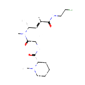 C/C(=C\[C@H](C(C)C)N(C)C(=O)[C@@H](NC(=O)[C@H]1CCCCN1C(C)C)C(C)C)C(=O)NCCF